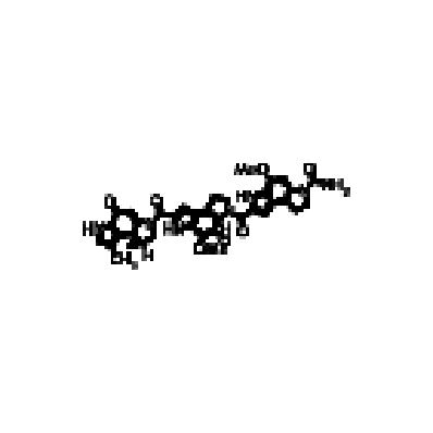 COc1cc2c(c3cc(C(=O)N4CCc5c4c(O)c(OC)c4[nH]c(C(=O)N6C[C@H]7C[C@@]78C6=CC(=O)c6[nH]cc(C)c68)cc54)[nH]c13)CCN2C(N)=O